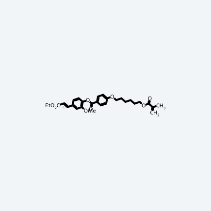 C=C(C)C(=O)OCCCCCCOc1ccc(C(=O)Oc2ccc(/C=C/C(=O)OCC)cc2OC)cc1